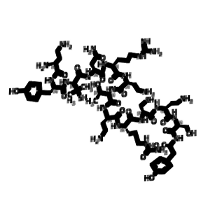 C[C@@H](O)[C@H](NC(=O)[C@H](CCN)NC(=O)[C@H](CCCNC(=N)N)NC(=O)[C@H](CC(N)=O)NC(=O)[C@@H](NC(=O)[C@H](Cc1ccc(O)cc1)NC(=O)[C@@H](N)CCN)C(C)(C)S)C(=O)N[C@H](CCN)C(=O)N[C@@H](CCCNC(N)=O)C(=O)N[C@@H](CS)C(=O)N[C@@H](CCN)C(=O)N[C@@H](CO)C(=O)N[C@@H](Cc1ccc(O)cc1)C(=O)O